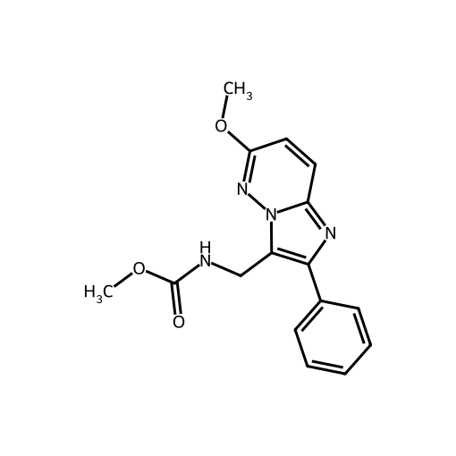 COC(=O)NCc1c(-c2ccccc2)nc2ccc(OC)nn12